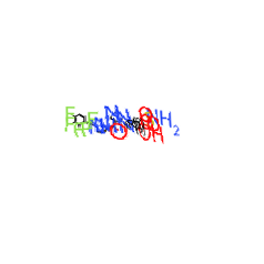 NS(=O)(=O)OC[C@H]1C[C@@H](Nc2ncncc2C(=O)c2ccn(C(F)(F)c3ccc(F)c(F)c3F)n2)C[C@@H]1O